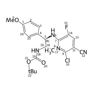 COc1ccc([C@@H](Nc2nc(Cl)c(C#N)cc2F)[C@H](C)NC(=O)OC(C)(C)C)cc1